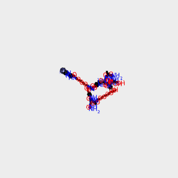 CC[C@H](C)[C@H](NC(=O)CN)C(=O)NCC(=O)N[C@@H](C[S+]([O-])c1[nH]c2cc(OC(=O)N(C)CCN(CCOCCOCCOCCNC(=O)c3ccc4nc5c(nc4c3)C/C3=C/C=C\C=C/C(=C3)C5)C(=O)OCc3ccc(NC(=O)[C@H](CCCNC(N)=O)NC(=O)[C@@H](NC(=O)CCOCCOCCOCCOCCOC)C(C)C)cc3)ccc2c1C)C(=O)N[C@@H](CC(N)=O)C(=O)N1C[C@H](O)C[C@H]1C(=O)N[C@H](C(=O)NC)[C@@H](C)[C@@H](O)CO